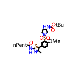 CCCCCC(=O)Nc1nc(C)c(-c2ccc(OC)c(S(=O)(=O)N3CC[C@H](NC(=O)OC(C)(C)C)C3)c2)s1